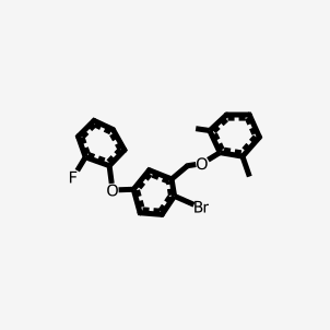 Cc1cccc(C)c1OCc1cc(Oc2ccccc2F)ccc1Br